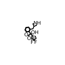 O=C(O)[C@](O)(c1ccccc1CC1CNC1)[C@@H]1CCC(F)(F)C1